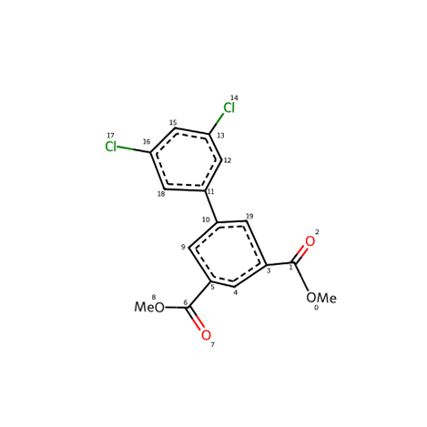 COC(=O)c1cc(C(=O)OC)cc(-c2cc(Cl)cc(Cl)c2)c1